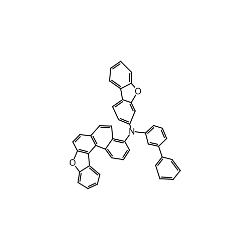 c1ccc(-c2cccc(N(c3ccc4c(c3)oc3ccccc34)c3cccc4c3ccc3ccc5oc6ccccc6c5c34)c2)cc1